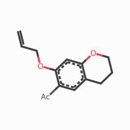 C=CCOc1cc2c(cc1C(C)=O)CCCO2